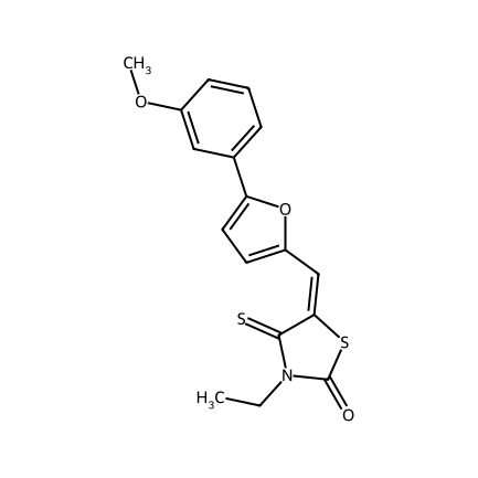 CCN1C(=O)S/C(=C/c2ccc(-c3cccc(OC)c3)o2)C1=S